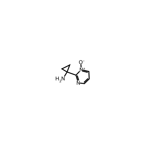 NC1(c2nccc[n+]2[O-])CC1